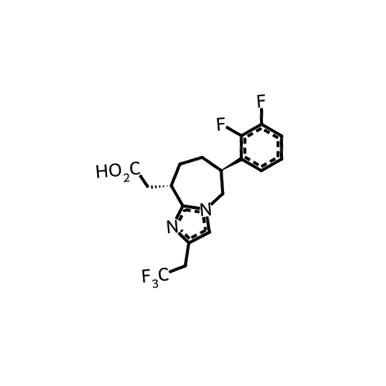 O=C(O)C[C@@H]1CC[C@@H](c2cccc(F)c2F)Cn2cc(CC(F)(F)F)nc21